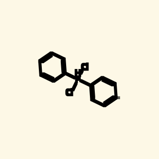 Cl[PH](Cl)(c1cc[c]cc1)c1ccccc1